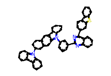 c1cc(-c2nc(-c3ccc4c(c3)sc3ccccc34)c3ccccc3n2)cc(-n2c3ccccc3c3cc4ccc(-n5c6ccccc6c6ccccc65)cc4cc32)c1